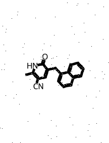 Cc1[nH]c(=O)c(Cc2cccc3ccccc23)cc1C#N